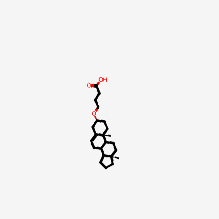 C[C@@]12CCCC1C1CC=C3C[C@@H](OCCCC(=O)O)CC[C@]3(C)C1CC2